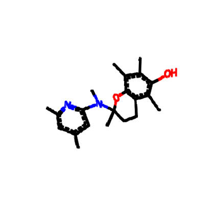 Cc1cc(C)nc(N(C)C2(C)CCc3c(C)c(O)c(C)c(C)c3O2)c1